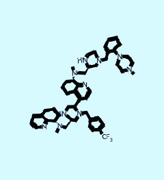 CN1CCN(c2ccccc2CN2CCN[C@H](CN(C)[C@H]3CCCc4c(C5CN[C@H](CN(C)[C@H]6CCCc7cccnc76)CN5Cc5ccc(C(F)(F)F)cc5)ccnc43)C2)CC1